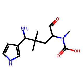 CN(C(=O)O)C(C=O)CC(C)(C)C(N)c1cc[nH]c1